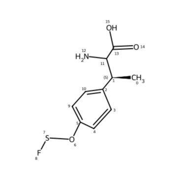 C[C@@H](c1ccc(OSF)cc1)C(N)C(=O)O